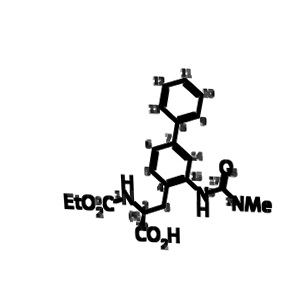 CCOC(=O)N[C@@H](Cc1ccc(-c2ccccc2)cc1NC(=O)NC)C(=O)O